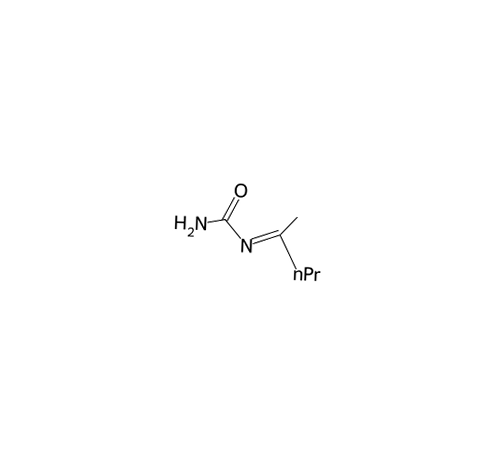 CCCC(C)=NC(N)=O